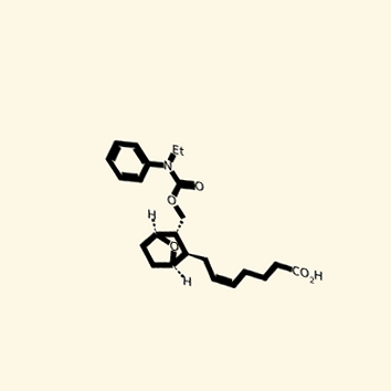 CCN(C(=O)OC[C@@H]1[C@@H](C/C=C\CCCC(=O)O)[C@H]2CC[C@@H]1O2)c1ccccc1